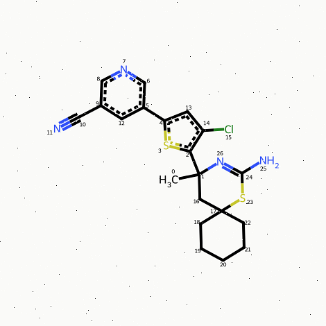 CC1(c2sc(-c3cncc(C#N)c3)cc2Cl)CC2(CCCCC2)SC(N)=N1